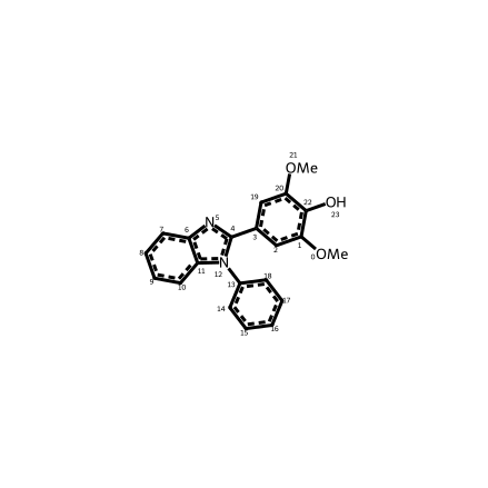 COc1cc(-c2nc3ccccc3n2-c2ccccc2)cc(OC)c1O